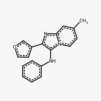 Cc1ccn2c(Nc3ccccc3)c(-c3ccoc3)nc2c1